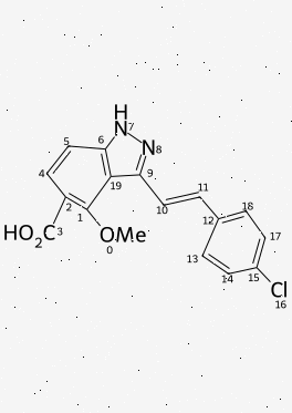 COc1c(C(=O)O)ccc2[nH]nc(C=Cc3ccc(Cl)cc3)c12